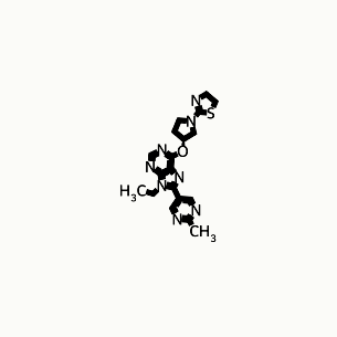 CCn1c(-c2cnc(C)nc2)nc2c(O[C@H]3CCN(C4=NCCS4)C3)ncnc21